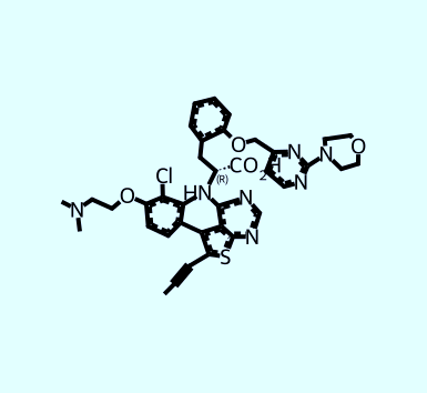 CC#Cc1sc2ncnc(N[C@H](Cc3ccccc3OCc3ccnc(N4CCOCC4)n3)C(=O)O)c2c1-c1ccc(OCCN(C)C)c(Cl)c1C